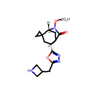 O=C1C2C[C@@H](N1OS(=O)(=O)O)C1(CC1)C[C@H]2c1nnc(CC2CNC2)o1